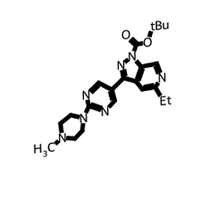 CCc1cc2c(-c3cnc(N4CCN(C)CC4)nc3)nn(C(=O)OC(C)(C)C)c2cn1